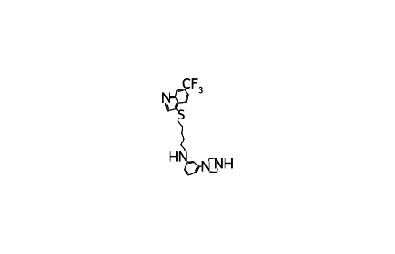 FC(F)(F)c1ccc2c(SCCCCCCNc3cccc(N4CCNCC4)c3)ccnc2c1